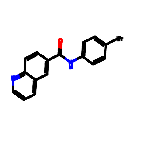 CC(C)c1ccc(NC(=O)c2ccc3ncccc3c2)cc1